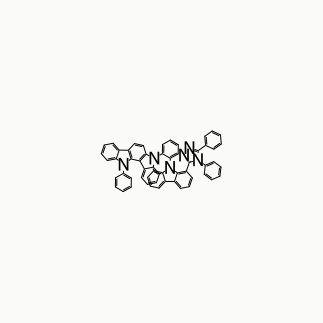 c1ccc(-c2nnc(-c3cccc4c5ccccc5n(-c5ccccc5-n5c6ccccc6c6c5ccc5c7ccccc7n(-c7ccccc7)c56)c34)n2-c2ccccc2)cc1